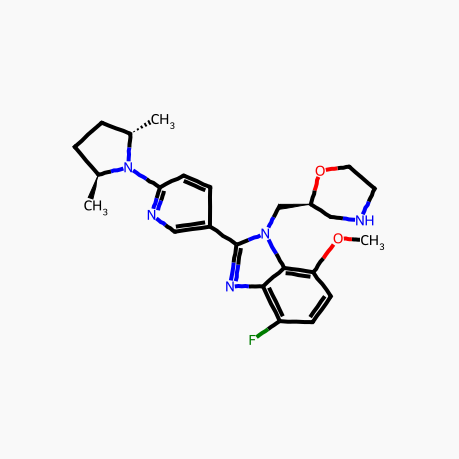 COc1ccc(F)c2nc(-c3ccc(N4[C@@H](C)CC[C@@H]4C)nc3)n(C[C@@H]3CNCCO3)c12